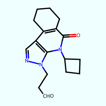 O=CCCn1ncc2c3c(c(=O)n(C4CCC4)c21)CCCC3